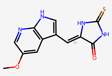 COc1cnc2[nH]cc(/C=C3\NC(=S)NC3=O)c2c1